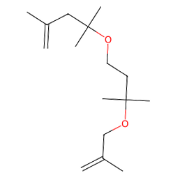 C=C(C)COC(C)(C)CCOC(C)(C)CC(=C)C